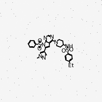 CCc1ccc(S(=O)(=O)NC2CCN(c3ncnc4c3cc(-c3cnn(C)c3)n4S(=O)(=O)c3ccccc3)CC2)cc1